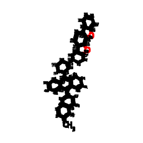 CC1C=Cc2cc(-c3c4c(c(C5C=C(C6CCC7=C(C6)C6C=Cc8c(oc9ccccc89)C6O7)CCC5)c5ccccc35)CCC=C4)ccc2C1